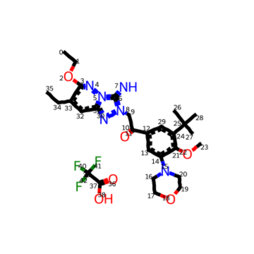 CCOc1nn2c(=N)n(CC(=O)c3cc(N4CCOCC4)c(OC)c(C(C)(C)C)c3)nc2cc1CC.O=C(O)C(F)(F)F